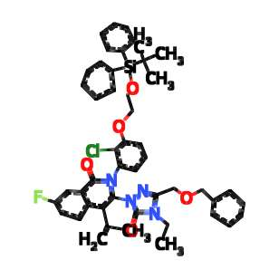 C=C(C)c1c(-n2nc(COCc3ccccc3)n(CC)c2=O)n(-c2cccc(OCCO[Si](c3ccccc3)(c3ccccc3)C(C)(C)C)c2Cl)c(=O)c2cc(F)ccc12